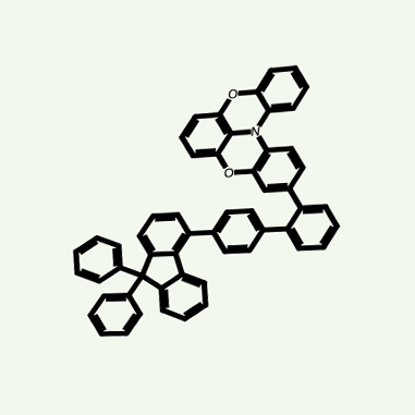 c1ccc(C2(c3ccccc3)c3ccccc3-c3c(-c4ccc(-c5ccccc5-c5ccc6c(c5)Oc5cccc7c5N6c5ccccc5O7)cc4)cccc32)cc1